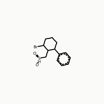 O=[SH](=O)CC1C(Br)CCCC1c1ccccc1